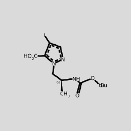 C[C@@H](Cn1ncc(I)c1C(=O)O)NC(=O)OC(C)(C)C